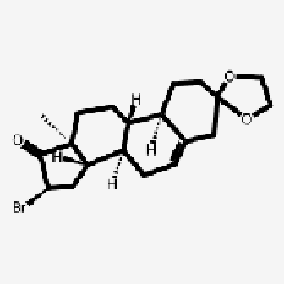 C[C@]12CC[C@H]3[C@@H](CC=C4CC5(CC[C@@H]43)OCCO5)[C@@H]1C[C@@H](Br)C2=O